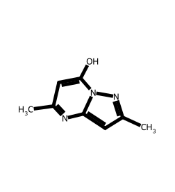 Cc1cc(O)n2nc(C)cc2n1